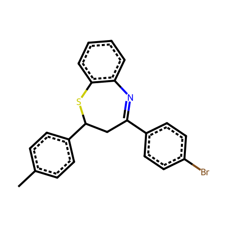 Cc1ccc(C2CC(c3ccc(Br)cc3)=Nc3ccccc3S2)cc1